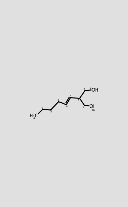 CCCCC=CC(CO)CO